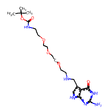 CC(C)(C)OC(=O)NCCOCCOCCOCCNCc1c[nH]c2nc(N)[nH]c(=O)c12